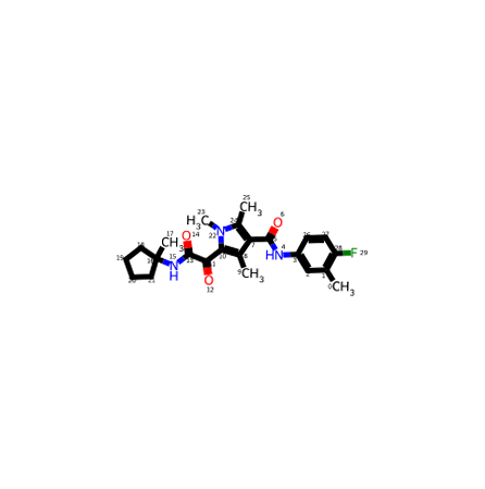 Cc1cc(NC(=O)c2c(C)c(C(=O)C(=O)NC3(C)CCCC3)n(C)c2C)ccc1F